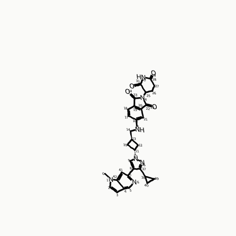 Cn1ccc2cnc(-c3cn([C@H]4C[C@H](CNc5ccc6c(c5)C(=O)N(C5CCC(=O)NC5=O)C6=O)C4)nc3C3CC3)cc21